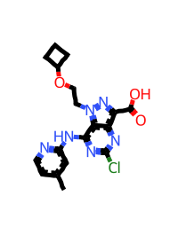 Cc1ccnc(Nc2nc(Cl)nc3c(C(=O)O)nn(CCOC4CCC4)c23)c1